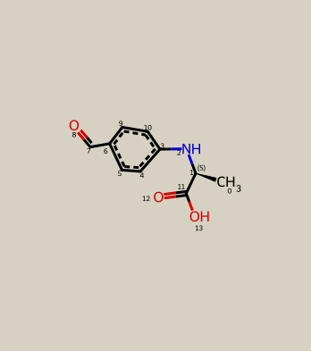 C[C@H](Nc1ccc(C=O)cc1)C(=O)O